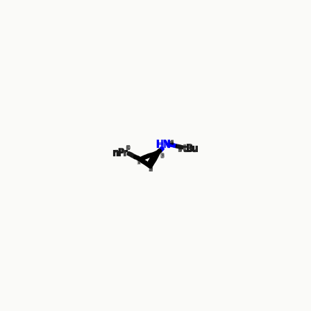 CCCC1C=C1NC(C)(C)C